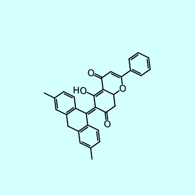 Cc1ccc2c(c1)Cc1cc(C)ccc1C2=C1C(=O)CC2OC(c3ccccc3)=CC(=O)C2=C1O